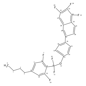 CCCCc1cc(F)c(C(F)(F)Oc2ccc(-c3ccc4c(F)c(F)c(F)cc4c3)cc2)c(F)c1